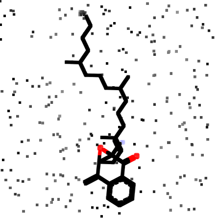 C=C1c2ccccc2C(=O)C2(C)OC12C/C=C(\C)CCCC(C)CCCC(C)CCCC(C)C